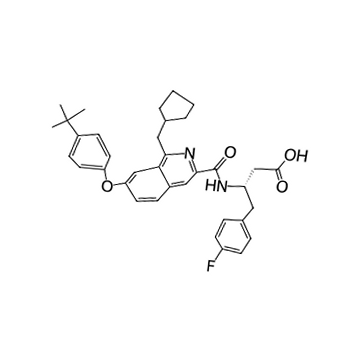 CC(C)(C)c1ccc(Oc2ccc3cc(C(=O)N[C@H](CC(=O)O)Cc4ccc(F)cc4)nc(CC4CCCC4)c3c2)cc1